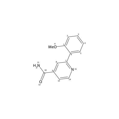 COc1ccccc1-c1cc(C(N)=O)ccn1